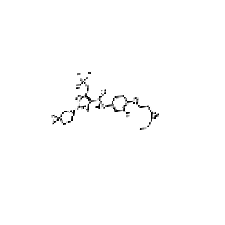 CCC1=CC1CCOc1ccc(NC(=O)c2nc(N3CCC4(CC4)C3)oc2CC(F)(F)F)cc1F